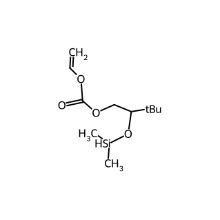 C=COC(=O)OCC(O[SiH](C)C)C(C)(C)C